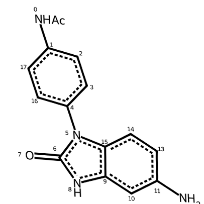 CC(=O)Nc1ccc(-n2c(=O)[nH]c3cc(N)ccc32)cc1